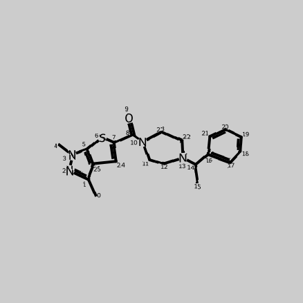 Cc1nn(C)c2sc(C(=O)N3CCN(C(C)c4ccccc4)CC3)cc12